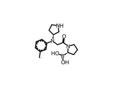 [CH2]c1cccc(N(CC(=O)N2CCC[C@H]2B(O)O)[C@H]2CCNC2)c1